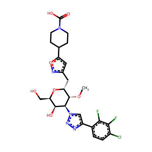 CO[C@@H]1[C@@H](n2cc(-c3ccc(Cl)c(F)c3F)nn2)[C@@H](O)[C@@H](CO)O[C@@H]1Cc1cc(C2CCN(C(=O)O)CC2)on1